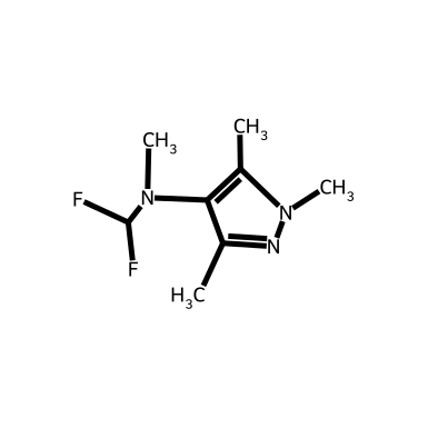 Cc1nn(C)c(C)c1N(C)C(F)F